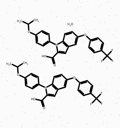 CC(C)Oc1ccc(-n2c(C(=O)O)cc3cc(Oc4ccc(C(F)(F)F)cc4)ccc32)cc1.CC(C)Oc1ccc(-n2c(C(=O)O)cc3cc(Oc4ccc(C(F)(F)F)cc4)ccc32)cc1.O